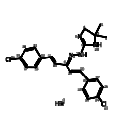 Br.CC1(C)CN=C(NN=C(/C=C/c2ccc(Cl)cc2)/C=C/c2ccc(Cl)cc2)N1